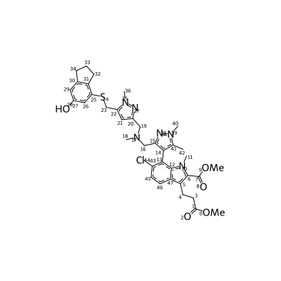 COC(=O)CCc1c(C(=O)OC)n(C)c2c(-c3c(CN(C)Cc4cc(CSc5cc(O)cc6c5CCC6)n(C)n4)nn(C)c3C)c(Cl)ccc12